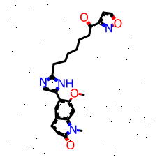 COc1cc2c(ccc(=O)n2C)cc1-c1cnc(CCCCCCC(=O)c2ccon2)[nH]1